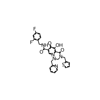 O=C(NCc1ccc(F)cc1F)c1cn2c(c(O)c1=O)C(=O)N(Cc1cccs1)CN2Cc1ccccn1